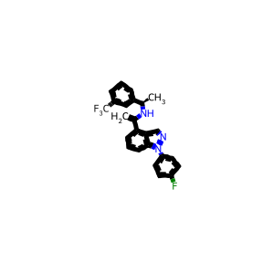 C=C(N[C@H](C)c1cccc(C(F)(F)F)c1)c1cccc2c1cnn2-c1ccc(F)cc1